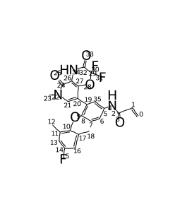 C=CC(=O)Nc1ccc(Oc2c(C)cc(F)cc2C)c(-c2cn(C)c(=O)c3c2OC(F)(F)C(=O)N3)c1